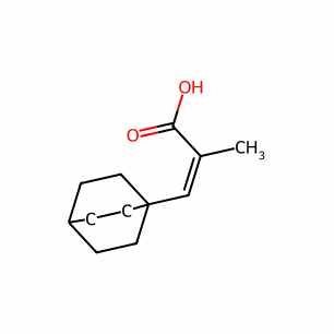 CC(=CC12CCC(CC1)CC2)C(=O)O